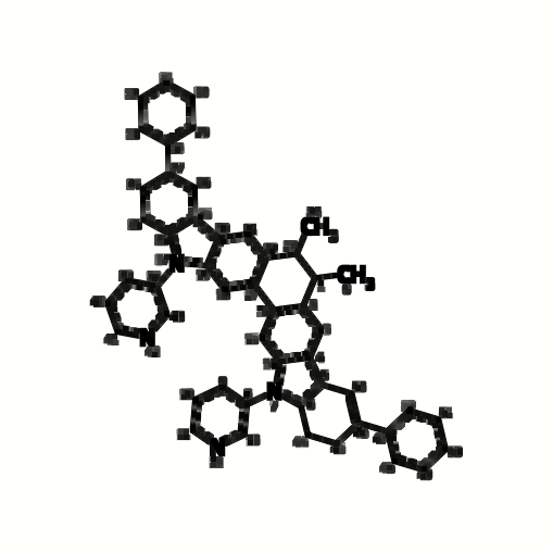 CC1c2cc3c4c(n(-c5cccnc5)c3cc2-c2cc3c(cc2C1C)c1cc(-c2ccccc2)ccc1n3-c1cccnc1)CCC(c1ccccc1)=C4